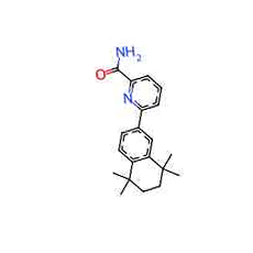 CC1(C)CCC(C)(C)c2cc(-c3cccc(C(N)=O)n3)ccc21